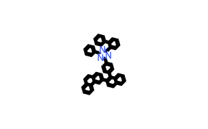 c1ccc(-c2nc(-c3ccc(-c4c(-c5ccc6ccc7ccccc7c6c5)ccc5ccccc45)cc3)nc(-c3ccccc3-c3ccccc3)n2)cc1